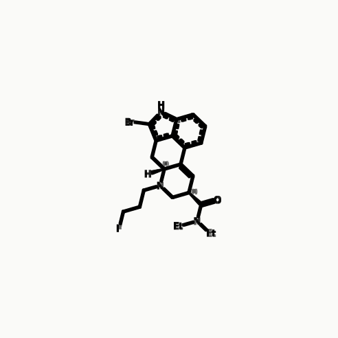 CCN(CC)C(=O)[C@@H]1C=C2c3cccc4[nH]c(Br)c(c34)C[C@H]2N(CCCF)C1